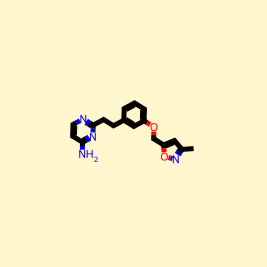 Cc1cc(COc2cccc(CCc3nccc(N)n3)c2)on1